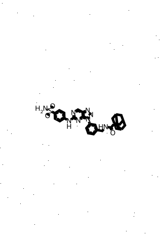 NS(=O)(=O)c1ccc(Nc2ncc3nnn(-c4cccc(CNC(=O)C56CC7CC(CC(C7)C5)C6)c4)c3n2)cc1